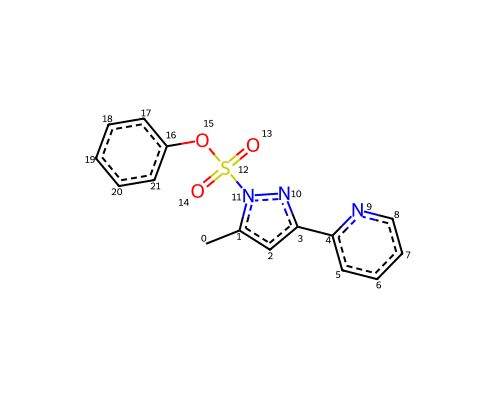 Cc1cc(-c2ccccn2)nn1S(=O)(=O)Oc1ccccc1